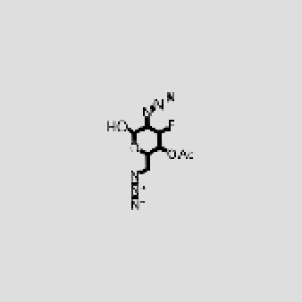 CC(=O)OC1C(CN=[N+]=[N-])OC(O)C(N=[N+]=[N-])C1F